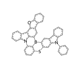 c1ccc(-n2c3ccccc3c3cc4c(cc32)Sc2cccc3c2B4c2cc4c5ccccc5oc4c4c5ccccc5n-3c24)cc1